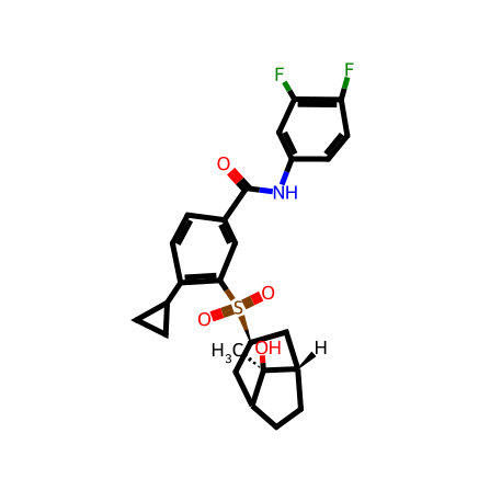 C[C@@]1(O)C2CC[C@H]1C[C@H](S(=O)(=O)c1cc(C(=O)Nc3ccc(F)c(F)c3)ccc1C1CC1)C2